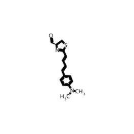 CN(C)c1ccc(/C=C/C=C/C2=N[C@@H](C=O)CS2)cc1